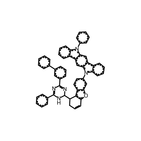 C1=Cc2oc3cc(-n4c5ccccc5c5cc6c(cc54)c4ccccc4n6-c4ccccc4)ccc3c2C(C2N=C(c3cccc(-c4ccccc4)c3)N=C(c3ccccc3)N2)C1